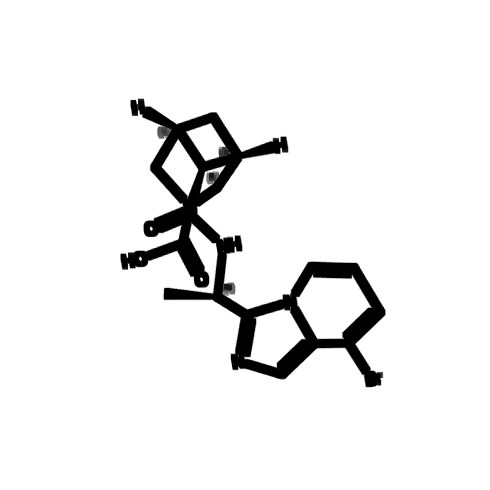 C[C@@H](NC(=O)[C@@H]1[C@@H]2C[C@H]1CN(C(=O)O)C2)c1ncc2c(Br)cccn12